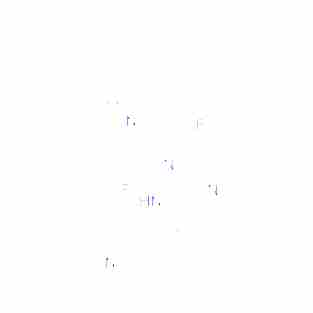 Cc1nc2cc(F)c(-c3ccc(P4(=O)CCOCC4)nc3)nc2c(NC(C)c2cc(C#N)ccc2F)c1Cl